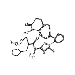 CN(C(=O)C(CC(=O)O)CC1CCCC1)c1nc(-c2ccccc2-c2cnc3c(c2)CCC(=O)N3C)c(F)s1